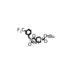 CC(C)(C)OC(=O)N1CCC2(CC1)NC(=O)N(Cc1cccc(C(F)(F)F)c1)C2=O